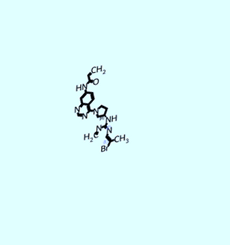 C=CC(=O)Nc1ccc2c(N3CC[C@@H](N/C(N=C)=N/C=C(\C)Br)C3)ncnc2c1